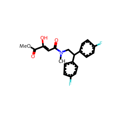 COC(=O)C(O)=CC(=O)N(C)CC(c1ccc(F)cc1)c1ccc(F)cc1